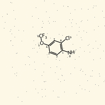 [NH]c1ccc(OC(F)(F)F)cc1Cl